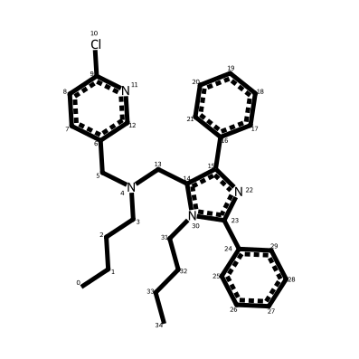 CCCCN(Cc1ccc(Cl)nc1)Cc1c(-c2ccccc2)nc(-c2ccccc2)n1CCCC